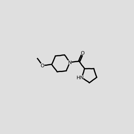 COC1CCN(C(=O)C2CCCN2)CC1